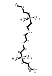 CCOCC[N+](C)(C)CCOCCOCC[N+](C)(C)CCOCC